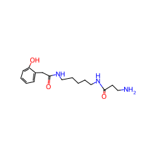 NCCC(=O)NCCCCCNC(=O)Cc1ccccc1O